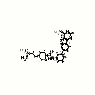 CN(C)CCN1CCN(C(=O)Nc2cccc(-c3ccc4c(c3)sc3c(N)ncnc34)c2)CC1